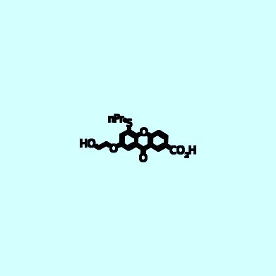 CCCSc1cc(OCCO)cc2c(=O)c3cc(C(=O)O)ccc3oc12